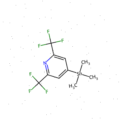 [CH3][Sn]([CH3])([CH3])[c]1cc(C(F)(F)F)nc(C(F)(F)F)c1